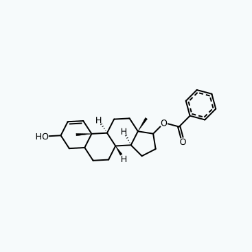 C[C@]12C=CC(O)CC1CC[C@@H]1[C@@H]2CC[C@]2(C)C(OC(=O)c3ccccc3)CC[C@@H]12